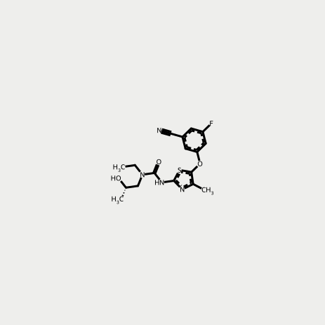 CCN(C[C@H](C)O)C(=O)Nc1nc(C)c(Oc2cc(F)cc(C#N)c2)s1